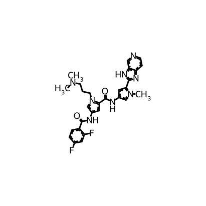 CN(C)CCCn1cc(NC(=O)c2ccc(F)cc2F)cc1C(=O)Nc1cc(-c2nc3ccncc3[nH]2)n(C)c1